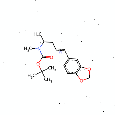 CC(C/C=C/c1ccc2c(c1)OCO2)N(C)C(=O)OC(C)(C)C